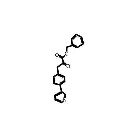 O=C(Cc1ccc(-c2cccnc2)cc1)C(=O)OCc1ccccc1